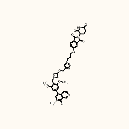 COc1cc(-c2cn(C)c(=O)c3cnccc23)cc(OC)c1CN1CC(OCc2cn(CCCOc3ccc4c(c3)C(=O)N(C3CCC(=O)NC3=O)C4=O)nn2)C1